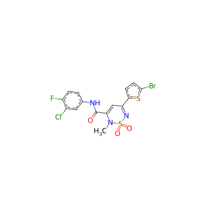 CN1C(C(=O)Nc2ccc(F)c(Cl)c2)=CC(c2ccc(Br)s2)=NS1(=O)=O